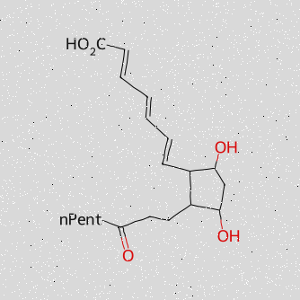 CCCCCC(=O)CCC1C(O)CC(O)C1C=CC=CC=CC(=O)O